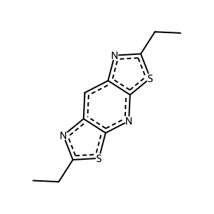 CCc1nc2cc3nc(CC)sc3nc2s1